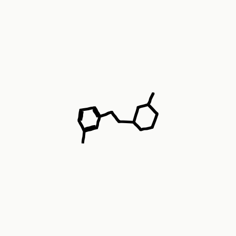 Cc1cccc(CCC2CCCC(C)C2)c1